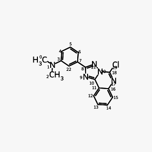 CN(C)c1cccc(-c2nc3c4ccccc4nc(Cl)n3n2)c1